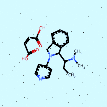 CCC(C1c2ccccc2CN1c1ccncc1)N(C)C.O=C(O)/C=C\C(=O)O